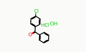 Cl.Cl.O=C(c1ccccc1)c1ccc(Cl)cc1